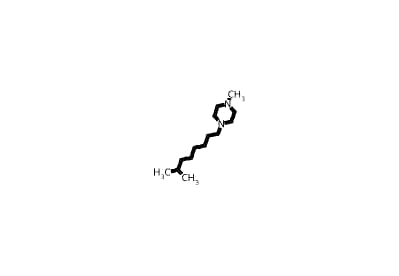 CC(C)CCCCCCN1CCN(C)CC1